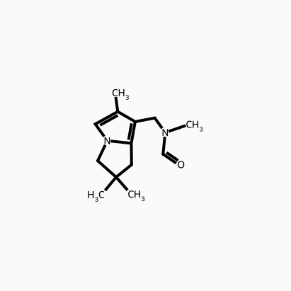 Cc1cn2c(c1CN(C)C=O)CC(C)(C)C2